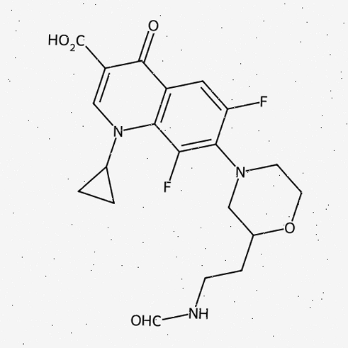 O=CNCCC1CN(c2c(F)cc3c(=O)c(C(=O)O)cn(C4CC4)c3c2F)CCO1